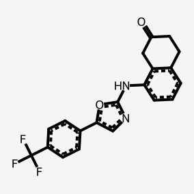 O=C1CCc2cccc(Nc3ncc(-c4ccc(C(F)(F)F)cc4)o3)c2C1